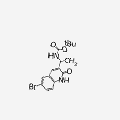 CC(NC(=O)OC(C)(C)C)c1cc2cc(Br)ccc2[nH]c1=O